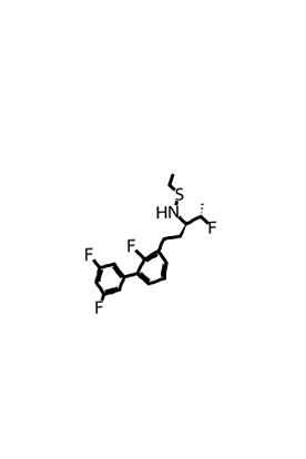 CCSN[C@H](CCc1cccc(-c2cc(F)cc(F)c2)c1F)[C@H](C)F